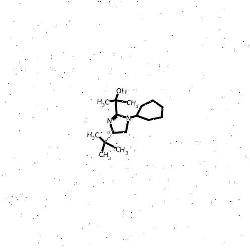 CC(C)(O)C1=N[C@@H](C(C)(C)C)CN1C1CCCCC1